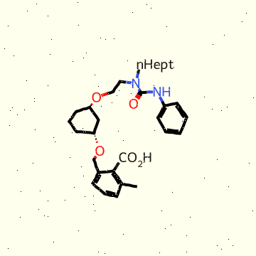 CCCCCCCN(CCO[C@H]1CCC[C@@H](OCc2cccc(C)c2C(=O)O)C1)C(=O)Nc1ccccc1